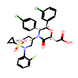 CC[C@H](CN(c1ccccc1F)S(=O)(=O)C1CC1)N1C(=O)[C@@H](CC(=O)O)O[C@H](c2cccc(Cl)c2)[C@H]1c1ccc(Cl)cc1